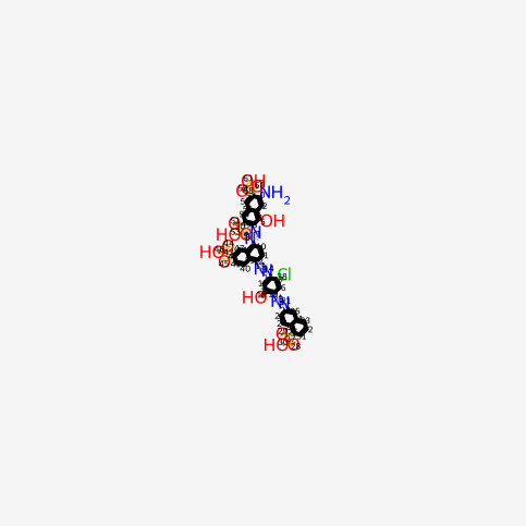 Nc1cc2c(O)c(/N=N/c3ccc(/N=N/c4cc(O)c(/N=N/c5ccc6c(S(=O)(=O)O)cccc6c5)cc4Cl)c4ccc(S(=O)(=O)O)cc34)c(S(=O)(=O)O)cc2cc1S(=O)(=O)O